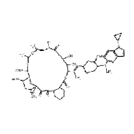 CCC1/C=C(\C)CC(C)CC(OC)C2OC(O)(C(=O)C(=O)N3CCCCC3C(=O)OC(C(C)=CC3CCC(N(C)c4ccc5c(ccn5C5CC5)c4)C(OC)C3)C(C)C(O)CC1=O)C(C)CC2OC